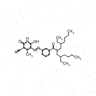 CCCCC(CC)CN(CC(CC)CCCC)C(=O)c1cccc(/N=N/c2c(O)[nH]c(=O)c(C#N)c2C)c1